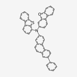 c1ccc(-c2ccc3c(ccc4cc(N(c5ccc6c(c5)oc5ccccc56)c5cccc6c5sc5ccccc56)ccc43)c2)cc1